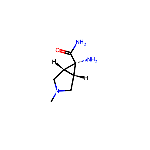 CN1C[C@@H]2[C@H](C1)[C@@]2(N)C(N)=O